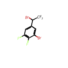 Fc1cc(C(Br)C(F)(F)F)cc(Br)c1F